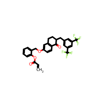 C=CC(=O)Oc1ccccc1COc1ccc2c(c1)CCC(Cc1cc(C(F)(F)F)cc(C(F)(F)F)c1)C2=O